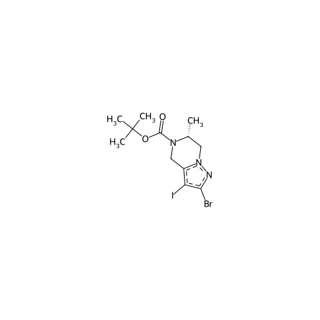 C[C@@H]1Cn2nc(Br)c(I)c2CN1C(=O)OC(C)(C)C